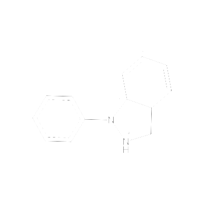 C1=CC2CNN(c3ccccc3)C2C=C1